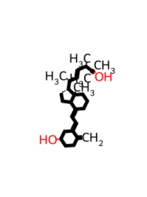 C=C1CC[C@H](O)C/C1=C\C=C1CCC[C@@]2(C)C1CC[C@@H]2[C@H](C)/C=C/[C@H](C)C(C)(C)O